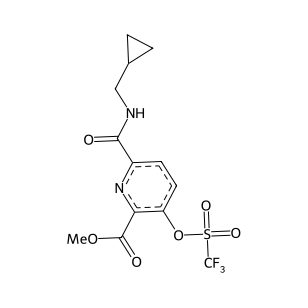 COC(=O)c1nc(C(=O)NCC2CC2)ccc1OS(=O)(=O)C(F)(F)F